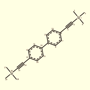 C[Si](C)(C)C#Cc1ccc(-c2ccc(C#C[Si](C)(C)C)cc2)cc1